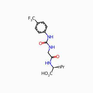 CCC[C@H](NC(=O)CNC(=O)Nc1ccc(C(F)(F)F)cc1)C(=O)O